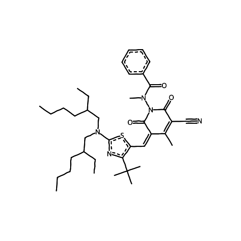 CCCCC(CC)CN(CC(CC)CCCC)c1nc(C(C)(C)C)c(/C=C2\C(=O)N(N(C)C(=O)c3ccccc3)C(=O)C(C#N)=C2C)s1